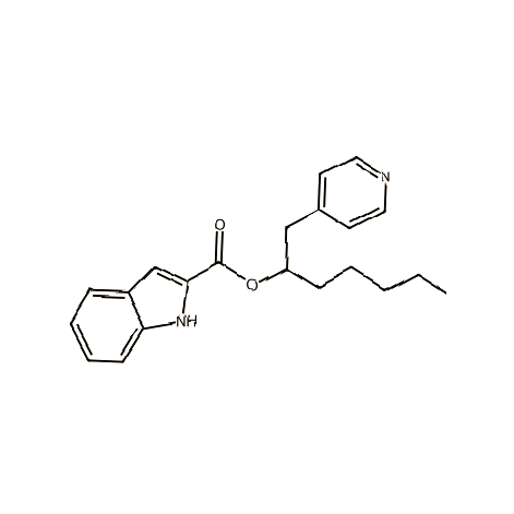 CCCCCC(Cc1ccncc1)OC(=O)c1cc2ccccc2[nH]1